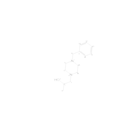 CC(O)CN1CCN(Cc2ccccc2)CC1